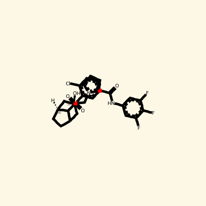 O=C(Nc1cc(F)c(F)c(F)c1)c1ccc(Cl)c(S(=O)(=O)C2C3CC[C@H]2C[C@](O)(Cn2cccn2)C3)c1